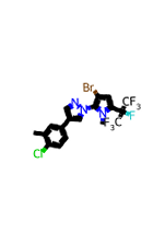 Cc1cc(-c2cnn(-c3c(Br)cc(C(F)(C(F)(F)F)C(F)(F)F)n3C)c2)ccc1Cl